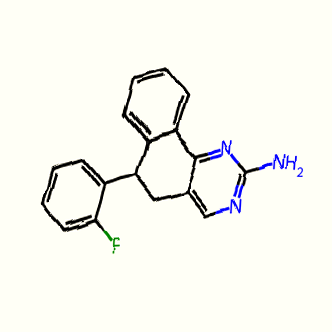 Nc1ncc2c(n1)-c1ccccc1C(c1ccccc1F)C2